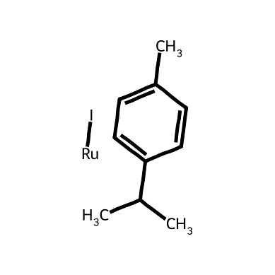 Cc1ccc(C(C)C)cc1.[Ru][I]